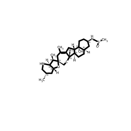 CC1=C2C[C@H]3[C@@H](CC[C@@H]4C[C@H](N[S+](C)[O-])CC[C@@]43C)[C@@H]2CC[C@@]2(C1)O[C@@H]1C[C@H](C)CN[C@H]1[C@H]2C